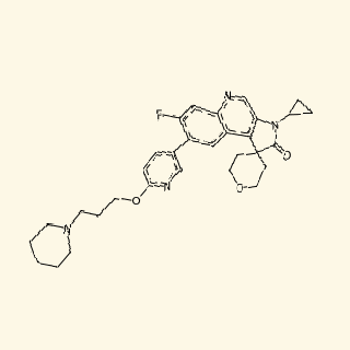 O=C1N(C2CC2)c2cnc3cc(F)c(-c4ccc(OCCCN5CCCCC5)nc4)cc3c2C12CCOCC2